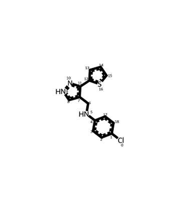 Clc1ccc(NCc2c[nH]nc2-c2cccs2)cc1